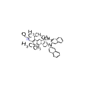 C=CC1=C(/C=C(\C)C=O)C(C)(C)C2=CC3c4ccc(N(c5ccc6ccccc6c5)c5ccc6ccccc6c5)cc4C(C)(C)C3C=C21